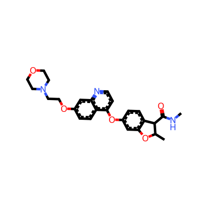 CNC(=O)C1c2ccc(Oc3ccnc4cc(OCCN5CCOCC5)ccc34)cc2OC1C